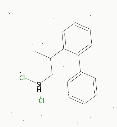 CC(C[SiH](Cl)Cl)c1ccccc1-c1ccccc1